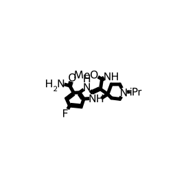 COC(=N)/C(=C1/Nc2cc(F)cc(C(N)=O)c2N1)C1(C)CCN(C(C)C)CC1